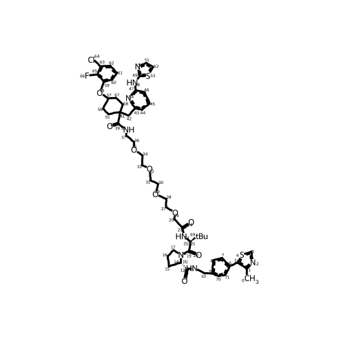 Cc1ncsc1-c1ccc(CNC(=O)[C@@H]2CCCN2C(=O)[C@@H](NC(=O)COCCOCCOCCOCCNC(=O)C2(Cc3cccc(Nc4nccs4)n3)CCC(Oc3cccc(Cl)c3F)CC2)C(C)(C)C)cc1